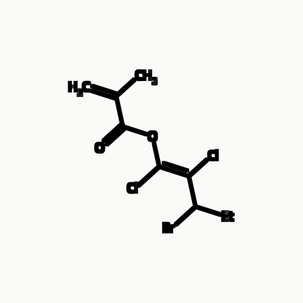 C=C(C)C(=O)OC(Cl)=C(Cl)C(Br)CC